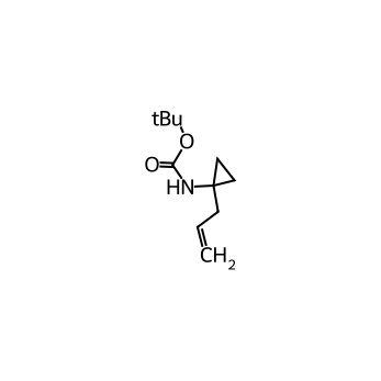 C=CCC1(NC(=O)OC(C)(C)C)CC1